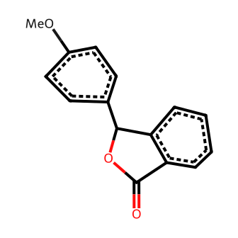 COc1ccc(C2OC(=O)c3ccccc32)cc1